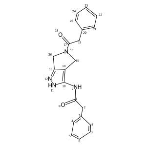 O=C(Cc1ccccc1)Nc1[nH]nc2c1CN(C(=O)Cc1ccccc1)C2